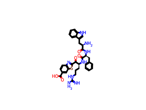 N=C(N)NCCC[C@H](NC(=O)[C@H](Cc1ccccc1)NC(=O)[C@H](N)Cc1c[nH]c2ccccc12)C(=O)c1nc2ccc(C(=O)O)cc2s1